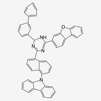 c1ccc(-c2cccc(C3N=C(c4cccc5c(-n6c7ccccc7c7ccccc76)cccc45)N=C(c4ccc5c(c4)oc4ccccc45)N3)c2)cc1